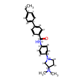 CCc1ccc(-c2ccc(C(=O)Nc3ccc(N4CCC(N(C)C)C4)cc3)cc2)cc1